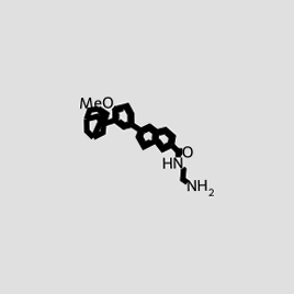 COc1ccc(-c2ccc3cc(C(=O)NCCN)ccc3c2)cc1C12CC3CC(CC(C3)C1)C2